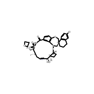 C[C@H]1C/C=C\[C@H](O)[C@@H]2CC[C@H]2CN2C[C@@]3(CCCc4cc(Cl)ccc43)COc3ccc(cc32)C(=O)NS(=O)(=O)[C@@H]1C[C@H]1CCO1